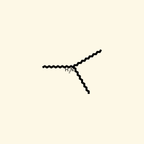 CCCCCCCCCCCCCCCC(N)(CCCCCCCCCCCCCC)CCCCCCCCCCCCCC